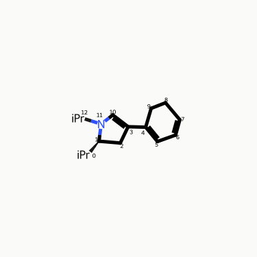 CC(C)[C@@H]1CC(C2=CC=CCC2)=CN1C(C)C